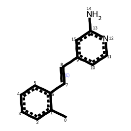 Cc1ccccc1/C=C/c1ccnc(N)c1